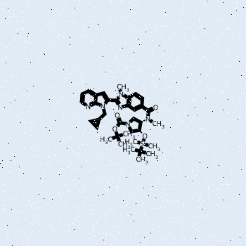 CN(C(=O)c1ccc2c(c1)nc(-c1cc3cccnc3n1CC1CC1)n2C)[C@H]1CN(C(=O)OC(C)(C)C)C[C@H]1O[Si](C)(C)C(C)(C)C